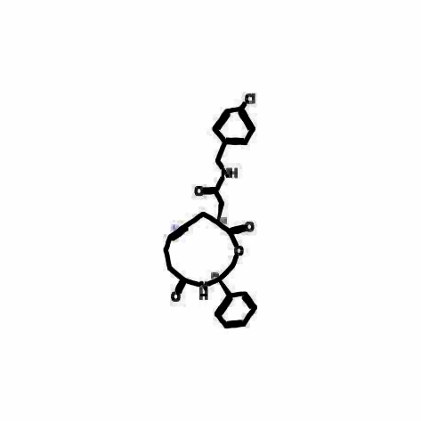 O=C(C[C@@H]1C/C=C/CCC(=O)N[C@H](c2ccccc2)COC1=O)NCc1ccc(Cl)cc1